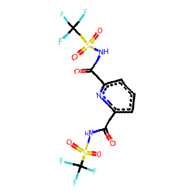 O=C(NS(=O)(=O)C(F)(F)F)c1cccc(C(=O)NS(=O)(=O)C(F)(F)F)n1